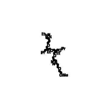 CCn1cc(CCOCC(CC)(COCC(CC)(COCc2cn(CCOCCOC)nn2)COC(C)C)CC(C)C)nn1